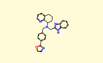 c1cnc2c(c1)CCCC2N(Cc1ccc(-c2ncco2)cc1)Cc1nc2ccccc2[nH]1